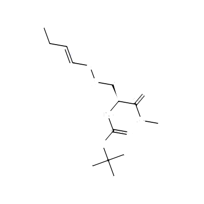 CC/C=C/SSC[C@H](NC(=O)OC(C)(C)C)C(=O)OC